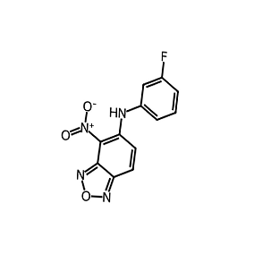 O=[N+]([O-])c1c(Nc2cccc(F)c2)ccc2nonc12